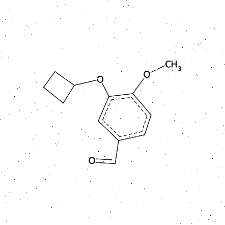 COc1ccc(C=O)cc1OC1CCC1